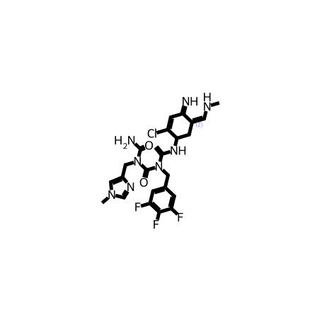 C=C(NC1C/C(=C/NC)C(=N)C=C1Cl)N(Cc1cc(F)c(F)c(F)c1)C(=O)N(Cc1cn(C)cn1)C(N)=O